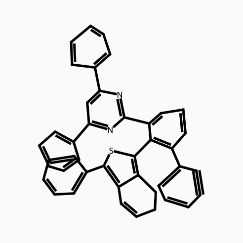 c1cccc(-c2cccc(-c3nc(-c4ccccc4)cc(-c4ccccc4)n3)c2-c2sc(-c3ccccc3)c3c2CCC=C3)c#1